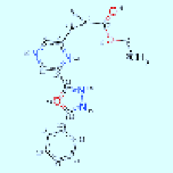 CCOC(=O)C1CC1c1cncc(-c2nnc(-c3ccccc3)o2)n1